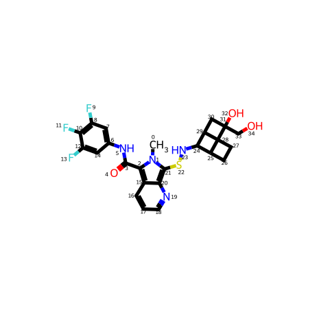 Cn1c(C(=O)Nc2cc(F)c(F)c(F)c2)c2cccnc2c1SNC1C2CCC23C1CC3(O)CO